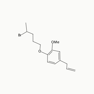 C=CCc1ccc(OCCCC(C)Br)c(OC)c1